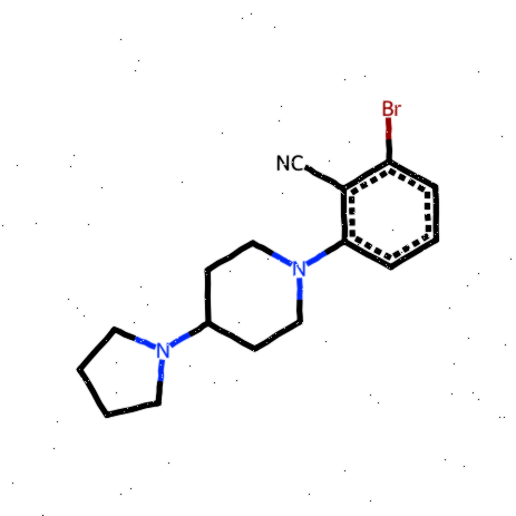 N#Cc1c(Br)cccc1N1CCC(N2CCCC2)CC1